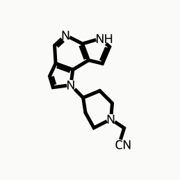 N#CCN1CCC(n2ccc3cnc4[nH]ccc4c32)CC1